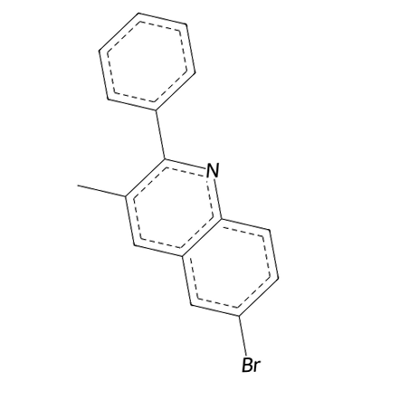 Cc1cc2cc(Br)ccc2nc1-c1ccccc1